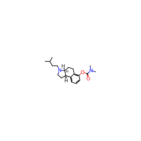 CC(C)CCN1CC[C@H]2c3cccc(OC(=O)N(C)C)c3CC[C@H]21